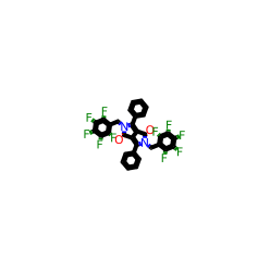 O=C1C2=C(c3ccccc3)N(Cc3c(F)c(F)c(F)c(F)c3F)C(=O)C2=C(c2ccccc2)N1Cc1c(F)c(F)c(F)c(F)c1F